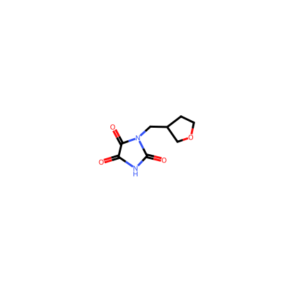 O=C1NC(=O)N(CC2CCOC2)C1=O